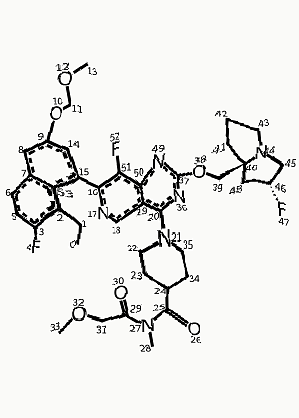 CCc1c(F)ccc2cc(OCOC)cc(-c3ncc4c(N5CCC(C(=O)N(C)C(=O)COC)CC5)nc(OC[C@@]56CCCN5C[C@H](F)C6)nc4c3F)c12